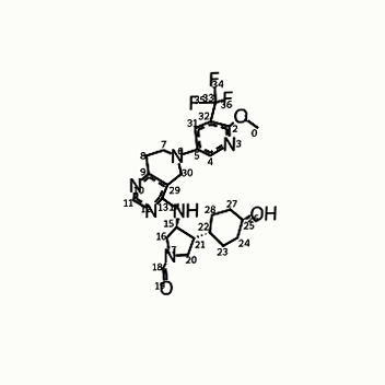 COc1ncc(N2CCc3ncnc(N[C@@H]4CN(C=O)CC4[C@H]4CC[C@H](O)CC4)c3C2)cc1C(F)(F)F